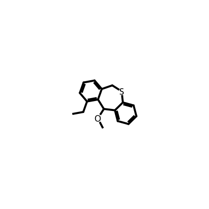 CCc1cccc2c1C(OC)c1ccccc1SC2